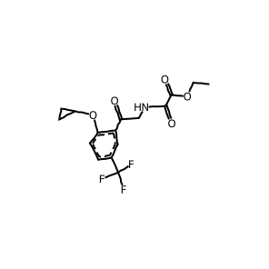 CCOC(=O)C(=O)NCC(=O)c1cc(C(F)(F)F)ccc1OC1CC1